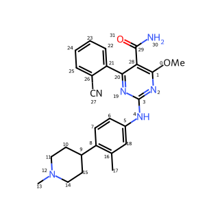 COc1nc(Nc2ccc(C3CCN(C)CC3)c(C)c2)nc(-c2ccccc2C#N)c1C(N)=O